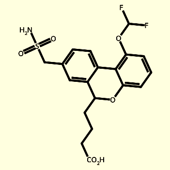 NS(=O)(=O)Cc1ccc2c(c1)C(CCCC(=O)O)Oc1cccc(OC(F)F)c1-2